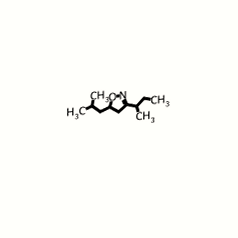 CCC(C)C1=NOC(CC(C)C)C1